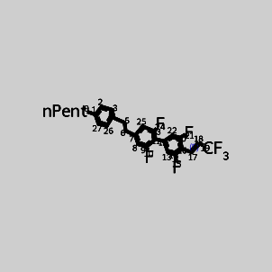 CCCCCc1ccc(CCc2cc(F)c(-c3cc(F)c(/C=C/C(F)(F)F)c(F)c3)c(F)c2)cc1